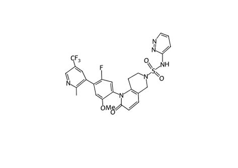 COc1cc(-c2cc(C(F)(F)F)cnc2C)c(F)cc1-n1c2c(ccc1=O)CN(S(=O)(=O)Nc1cccnn1)CC2